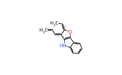 C=C/C=c1\c(=C/C)oc2c1[nH]c1ccccc12